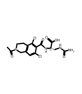 CC(=O)N1CCc2c(cc(Cl)c(C(=O)N[C@@H](CNC(N)=O)C(=O)O)c2Cl)C1